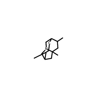 CC1CC2(C)CC3CN2CC1CCC3C